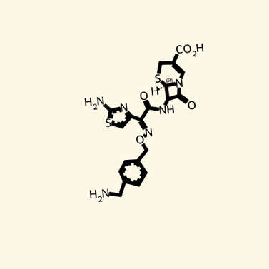 NCc1ccc(CON=C(C(=O)NC2C(=O)N3C=C(C(=O)O)CS[C@H]23)c2csc(N)n2)cc1